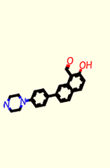 CN1CCN(c2ccc(-c3ccc4ccc(O)c(C=O)c4c3)cc2)CC1